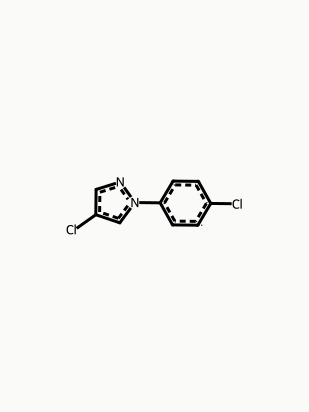 Clc1[c]cc(-n2cc(Cl)cn2)cc1